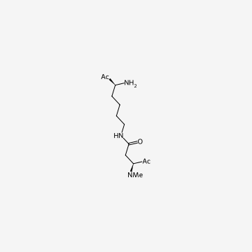 CN[C@@H](CC(=O)NCCCC[C@H](N)C(C)=O)C(C)=O